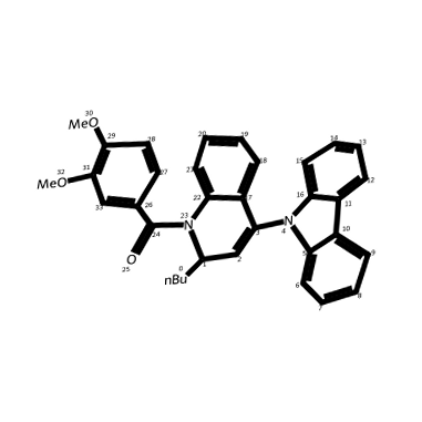 CCCCC1C=C(n2c3ccccc3c3ccccc32)c2ccccc2N1C(=O)c1ccc(OC)c(OC)c1